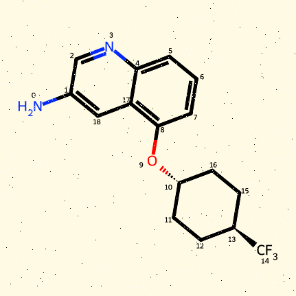 Nc1cnc2cccc(O[C@H]3CC[C@H](C(F)(F)F)CC3)c2c1